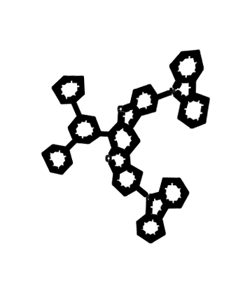 c1ccc(-c2cc(-c3ccccc3)cc(-c3c4oc5ccc(-n6c7ccccc7c7ccccc76)cc5c4cc4c3oc3ccc(-n5c6ccccc6c6ccccc65)cc34)c2)cc1